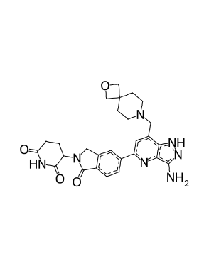 Nc1n[nH]c2c(CN3CCC4(CC3)COC4)cc(-c3ccc4c(c3)CN(C3CCC(=O)NC3=O)C4=O)nc12